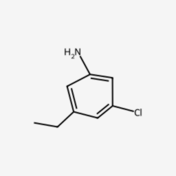 CCc1cc(N)cc(Cl)c1